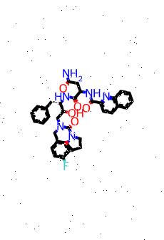 NC(=O)CC(NC(=O)c1ccc2ccccc2n1)C(=O)N[C@@H](Cc1ccccc1)C(O)CN(Cc1ccc(F)cc1)C(=O)N1CCCC1